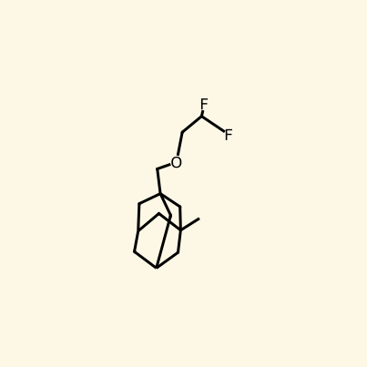 CC12CC3CC(C1)CC(COCC(F)F)(C3)C2